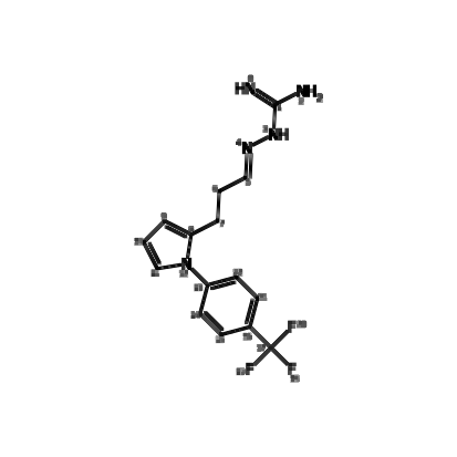 N=C(N)N/N=C/CCc1cccn1-c1ccc(C(F)(F)F)cc1